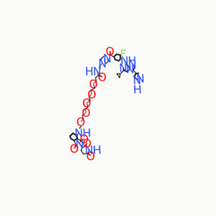 O=C(CCOCCOCCOCCOCCOCCNc1cccc2c1C(=O)N(C1CCC(=O)NC1=O)C2=O)NCCN1CCN(C(=O)c2ccc(Nc3nc(C4CC4)cn4c(-c5cn[nH]c5)cnc34)c(F)c2)CC1